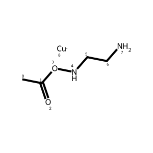 CC(=O)ONCCN.[Cu]